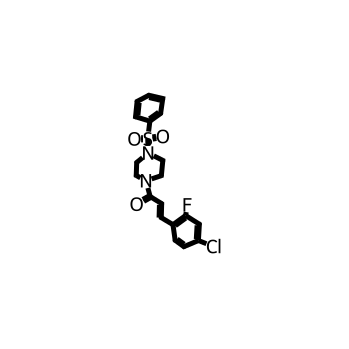 O=C(/C=C/c1ccc(Cl)cc1F)N1CCN(S(=O)(=O)c2ccccc2)CC1